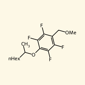 CCCCCCC(C)Oc1c(F)c(F)c(COC)c(F)c1F